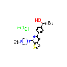 CCCCC(O)c1ccc(-c2cc3ccsc3c(N3CCN(CC)CC3)n2)cc1.Cl.Cl